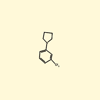 FC(F)(F)c1[c]ccc(N2CCCC2)c1